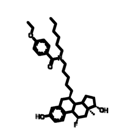 CCCCCCN(CCCCC[C@@H]1Cc2cc(O)ccc2C2C1C1CC[C@H](O)[C@@]1(C)C[C@@H]2F)C(=O)c1ccc(OCC)cc1